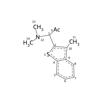 CC(=O)C(c1sc2ccccc2c1C)N(C)C